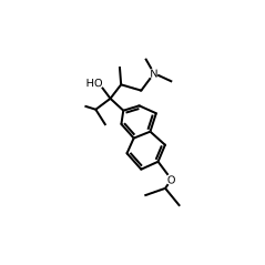 CC(C)Oc1ccc2cc(C(O)(C(C)C)C(C)CN(C)C)ccc2c1